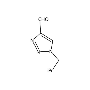 CC(C)Cn1cc(C=O)nn1